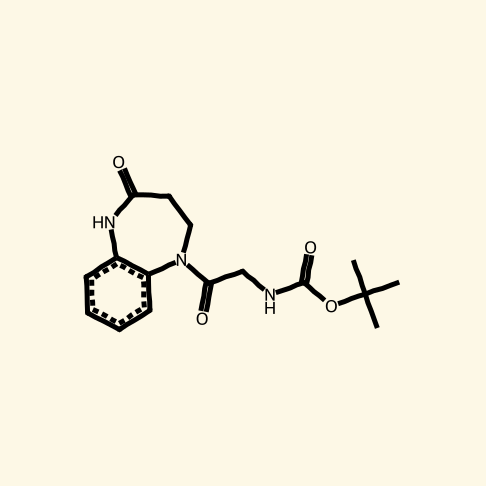 CC(C)(C)OC(=O)NCC(=O)N1CCC(=O)Nc2ccccc21